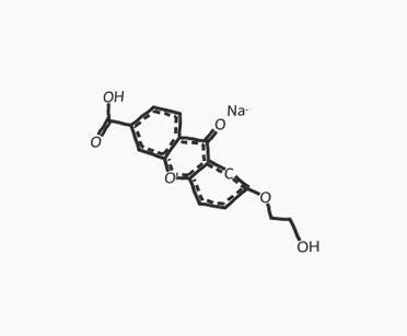 O=C(O)c1ccc2c(=O)c3cc(OCCO)ccc3oc2c1.[Na]